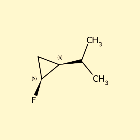 CC(C)[C@@H]1C[C@@H]1F